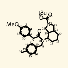 COc1ccc(CC(=O)N(Cc2ccc(C)cc2)C2CCCC3CN(C(=O)OC(C)(C)C)CC32)cc1